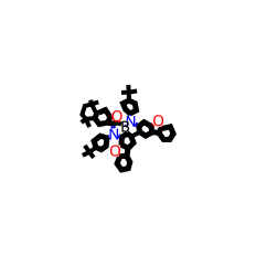 CC(C)(C)c1ccc(N2B3c4oc5cc6c(cc5c4N(c4ccc(C(C)(C)C)cc4)c4c3c(cc3c4oc4ccccc43)-c3cc4c(cc32)oc2ccccc24)C(C)(C)CCC6(C)C)cc1